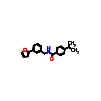 CC(C)c1ccc(C(=O)NCc2cccc(-c3ccco3)c2)cc1